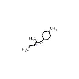 C=C/C=C(\C)OC1CCN(C)CC1